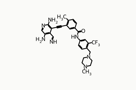 Cc1ccc(C(=O)Nc2ccc(CN3CCN(C)CC3)c(C(F)(F)F)c2)cc1C#Cc1c(N)ncc(N)c1C=N